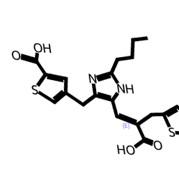 CCCCc1nc(Cc2csc(C(=O)O)c2)c(/C=C(\Cc2cccs2)C(=O)O)[nH]1